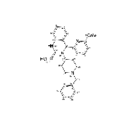 COc1cccc(C2c3ccccc3NC(=O)N2C2CCN(Cc3ccccc3)CC2)c1.Cl